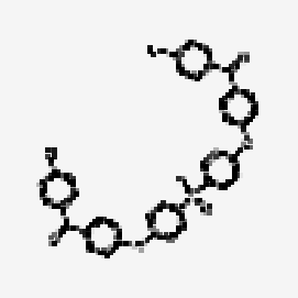 O=C(c1ccc(Cl)cc1)c1ccc(Oc2ccc(S(=O)(=O)c3ccc(Oc4ccc(C(=O)c5ccc(Cl)cc5)cc4)cc3)cc2)cc1